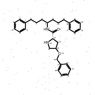 O=C(NC(CCCc1ccccc1)CCCc1ccccc1)[C@@H]1CC(OCc2ccccc2)CN1